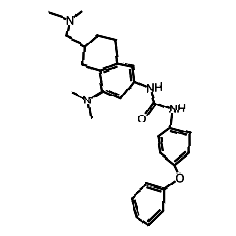 CN(C)CC1CCc2cc(NC(=O)Nc3ccc(Oc4ccccc4)cc3)cc(N(C)C)c2C1